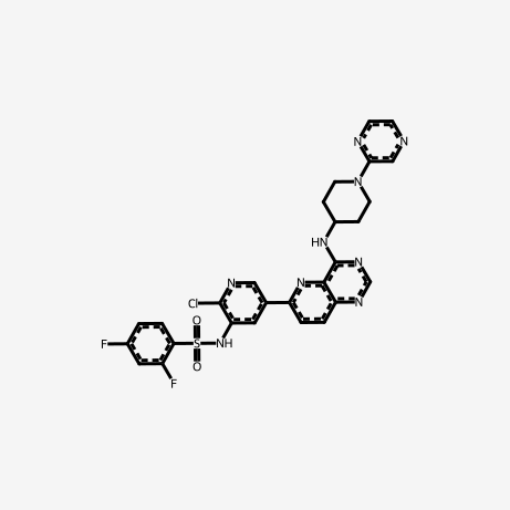 O=S(=O)(Nc1cc(-c2ccc3ncnc(NC4CCN(c5cnccn5)CC4)c3n2)cnc1Cl)c1ccc(F)cc1F